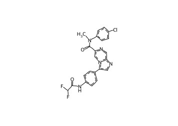 CN(C(=O)c1cn2c(-c3ccc(NC(=O)C(F)F)cc3)cnc2cn1)c1ccc(Cl)cc1